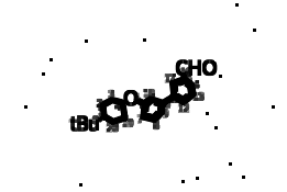 CC(C)(C)[C@H]1CC[C@H](Oc2cccc(-c3cccc(C=O)c3)c2)CC1